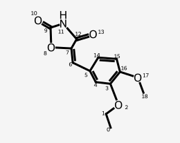 CCOc1cc(C=C2OC(=O)NC2=O)ccc1OC